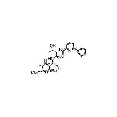 COC(=O)[C@@H](C)NB(OCC(C)C)[C@H](CC(C)C)NC(=O)[C@@H](NC(=O)c1cccc(-c2ccccc2)n1)[C@@H](C)O